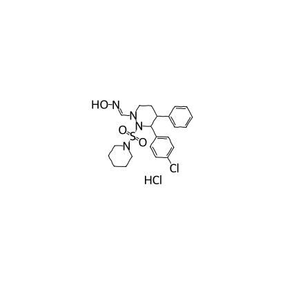 Cl.O=S(=O)(N1CCCCC1)N1C(c2ccc(Cl)cc2)C(c2ccccc2)CCN1C=NO